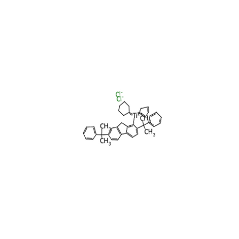 CC(C)(c1ccccc1)c1ccc2c(c1)Cc1c-2ccc(C(C)(C)c2ccccc2)[c]1[Ti+2]([C]1=CC=CC1)=[C]1CCCCC1.[Cl-].[Cl-]